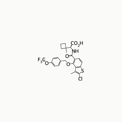 Cc1c(Cl)sc2ccc(C(=O)N[C@H](C(=O)O)C3(C)CCC3)c(OCc3ccc(OC(F)(F)F)cc3)c12